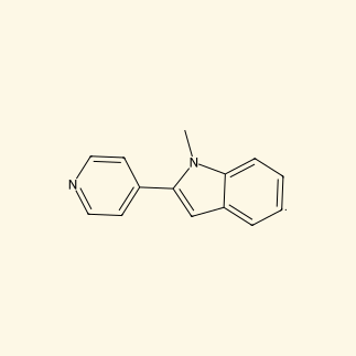 Cn1c(-c2ccncc2)cc2c[c]ccc21